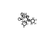 O=C(NO)[C@H]1CCCN1C(=O)N1CCCC1